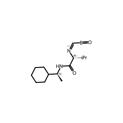 CC(C)[C@@H](/N=C\B=O)C(=O)N[C@@H](C)C1CCCCC1